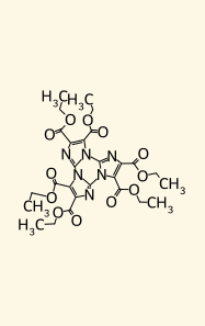 CCOC(=O)c1nc2n(c1C(=O)OCC)c1nc(C(=O)OCC)c(C(=O)OCC)n1c1nc(C(=O)OCC)c(C(=O)OCC)n21